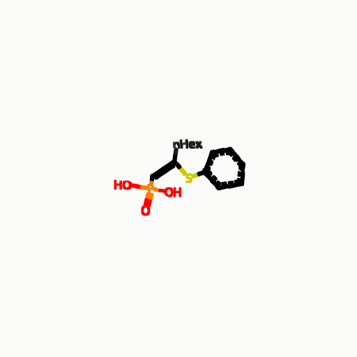 CCCCCC/C(=C/P(=O)(O)O)Sc1ccccc1